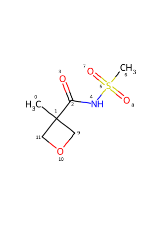 CC1(C(=O)NS(C)(=O)=O)COC1